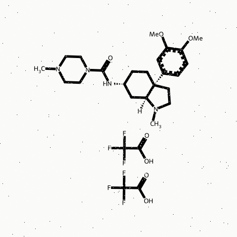 COc1ccc([C@@]23CC[C@@H](NC(=O)N4CCN(C)CC4)C[C@@H]2N(C)CC3)cc1OC.O=C(O)C(F)(F)F.O=C(O)C(F)(F)F